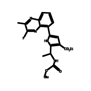 CCOC(=O)c1cc(-c2cccc3nc(C)c(F)nc23)[nH]c1C(C)NC(=O)OC(C)(C)C